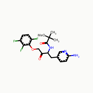 COC(C)(C)C(=O)NC(Cc1ccc(N)nc1)C(=O)COc1c(F)ccc(F)c1F